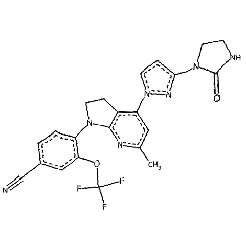 Cc1cc(-n2ccc(N3CCNC3=O)n2)c2c(n1)N(c1ccc(C#N)cc1OC(F)(F)F)CC2